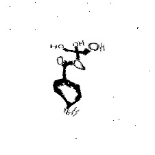 Nc1ccc(C(=O)OC(O)(CO)CO)cc1